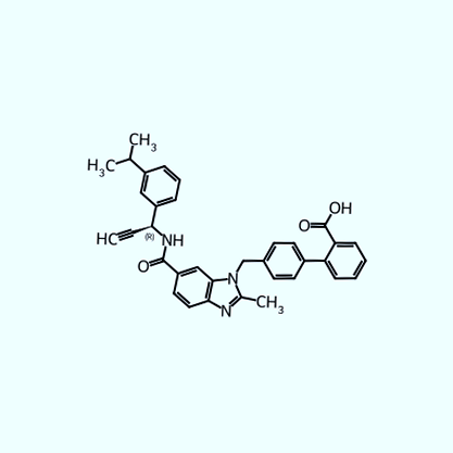 C#C[C@H](NC(=O)c1ccc2nc(C)n(Cc3ccc(-c4ccccc4C(=O)O)cc3)c2c1)c1cccc(C(C)C)c1